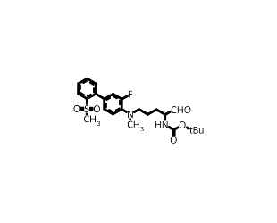 CN(CCCC(C=O)NC(=O)OC(C)(C)C)c1ccc(-c2ccccc2S(C)(=O)=O)cc1F